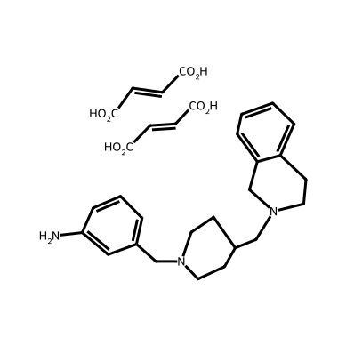 Nc1cccc(CN2CCC(CN3CCc4ccccc4C3)CC2)c1.O=C(O)/C=C/C(=O)O.O=C(O)/C=C/C(=O)O